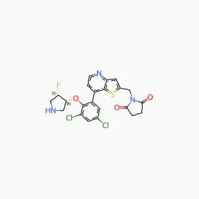 O=C1CCC(=O)N1Cc1cc2nccc(-c3cc(Cl)cc(Cl)c3O[C@@H]3CNC[C@@H]3F)c2s1